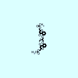 CC(=O)OCc1cc(=O)c2c(OCC(COc3cccc4oc(COC(C)=O)cc(=O)c34)SF)cccc2o1